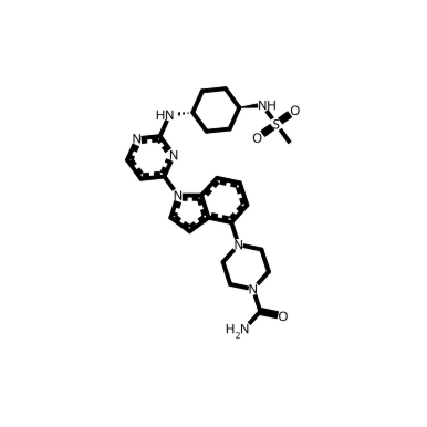 CS(=O)(=O)N[C@H]1CC[C@H](Nc2nccc(-n3ccc4c(N5CCN(C(N)=O)CC5)cccc43)n2)CC1